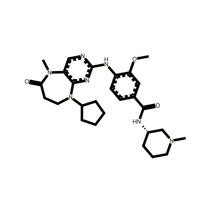 COc1cc(C(=O)N[C@H]2CCCN(C)C2)ccc1Nc1ncc2c(n1)N(C1CCCC1)CCC(=O)N2C